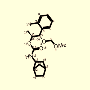 COCO[C@@H](c1ccccc1I)[C@H](C)OC(=O)NC1CC2CCC1C2